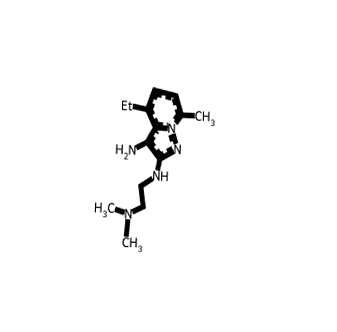 CCc1ccc(C)n2nc(NCCN(C)C)c(N)c12